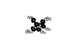 CC(C)(C)c1ccc2c(c1)c1cc(C(C)(C)C)cc3c1n2-c1cc(-c2ccc(C#N)cc2)cc2c1B3c1cc(C(C)(C)C)cc3c4cc(C(C)(C)C)ccc4n-2c13